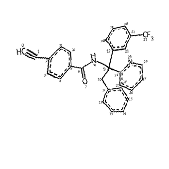 C#Cc1ccc(C(=O)NC(Cc2ccccc2)(c2cccc(C(F)(F)F)c2)c2ccccn2)cc1